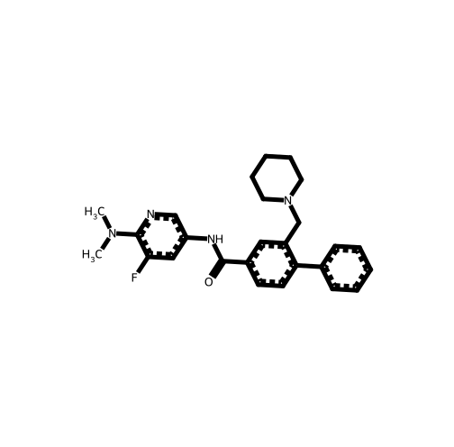 CN(C)c1ncc(NC(=O)c2ccc(-c3ccccc3)c(CN3CCCCC3)c2)cc1F